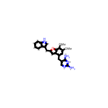 COc1cc(Cc2cnc(N)nc2N)c2cc(Cc3c[nH]c4ccccc34)oc2c1OC